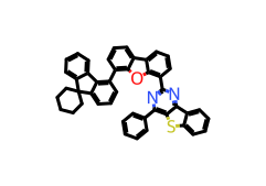 c1ccc(-c2nc(-c3cccc4c3oc3c(-c5cccc6c5-c5ccccc5C65CCCCC5)cccc34)nc3c2sc2ccccc23)cc1